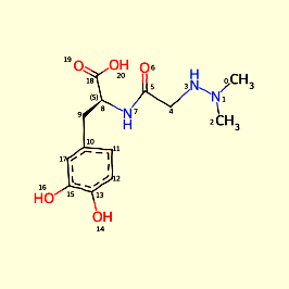 CN(C)NCC(=O)N[C@@H](Cc1ccc(O)c(O)c1)C(=O)O